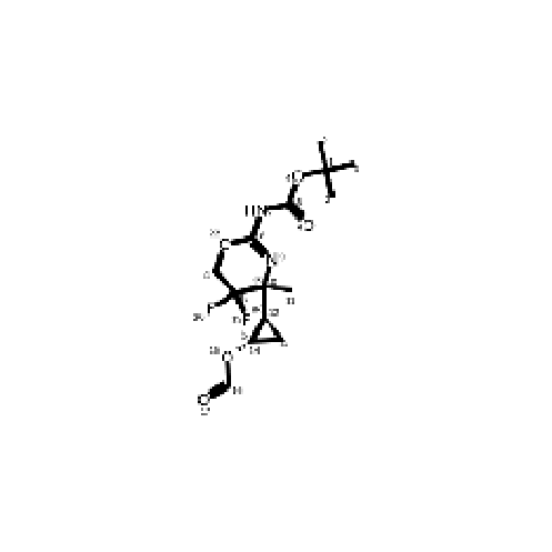 CC(C)(C)OC(=O)NC1=N[C@](C)([C@H]2C[C@@H]2OC=O)C(F)(F)CO1